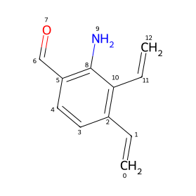 C=Cc1ccc(C=O)c(N)c1C=C